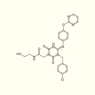 O=C(Cn1c(=O)[nH]/c(=N\c2ccc(Oc3ncccn3)cc2)n(Cc2ccc(Cl)cc2)c1=O)NCCO